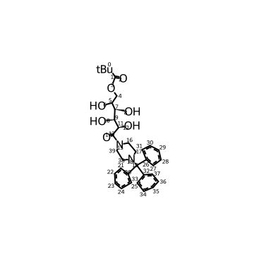 CC(C)(C)C(=O)OCC(O)[C@@H](O)[C@H](O)[C@@H](O)C(=O)N1CCN(C(c2ccccc2)(c2ccccc2)c2ccccc2)CC1